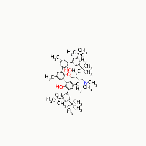 Cc1cc(-c2cc(C(C)(C)C)cc(C(C)(C)C)c2)c(O)c(-c2cc(C)cc(-c3cc(C)cc(-c4cc(C(C)(C)C)cc(C(C)(C)C)c4)c3O)c2OCCCCN(C)C)c1